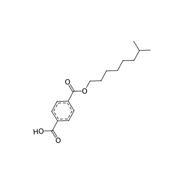 CC(C)CCCCCCOC(=O)c1ccc(C(=O)O)cc1